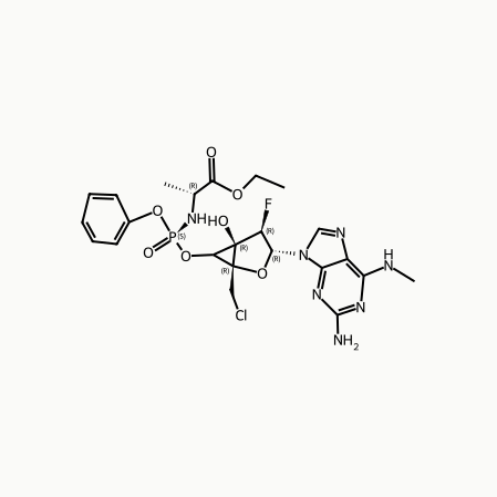 CCOC(=O)[C@@H](C)N[P@@](=O)(Oc1ccccc1)OC1[C@@]2(CCl)O[C@@H](n3cnc4c(NC)nc(N)nc43)[C@H](F)[C@@]12O